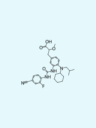 COC(Cc1ccc(N(CC(C)C)C2CCCCC2)c(NC(=O)Nc2ccc(C#N)cc2F)c1)C(=O)O